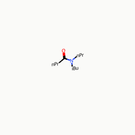 [CH2]CCC(=O)N(CCC)C(C)CC